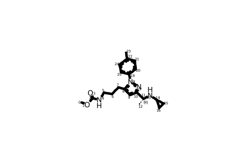 COC(=O)NCCCc1cc([C@@H](C)NC2CC2)nn1-c1ccc(C)cc1